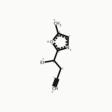 C#CCC(CC)c1ncc(C)o1